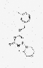 O=c1nc(OCc2cccc(F)c2)cc2n1CC1COCCN21